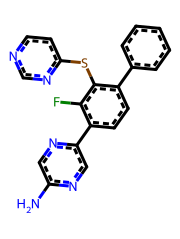 Nc1cnc(-c2ccc(-c3ccccc3)c(Sc3ccncn3)c2F)cn1